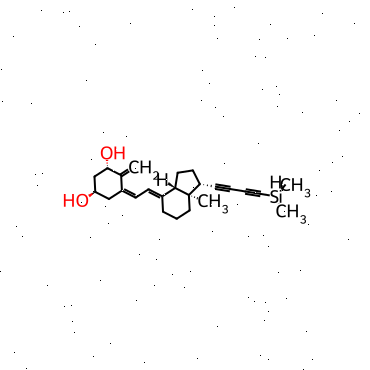 C=C1/C(=C\C=C2/CCC[C@]3(C)[C@@H](C#CC#C[SiH](C)C)CC[C@@H]23)C[C@@H](O)C[C@@H]1O